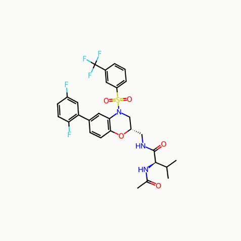 CC(=O)N[C@@H](C(=O)NC[C@H]1CN(S(=O)(=O)c2cccc(C(F)(F)F)c2)c2cc(-c3cc(F)ccc3F)ccc2O1)C(C)C